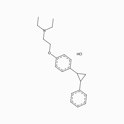 CCN(CC)CCOc1ccc(C2CC2c2ccccc2)cc1.Cl